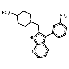 Nc1cccc(-c2c(CN3CCC(C(=O)O)CC3)[nH]c3ncccc23)c1